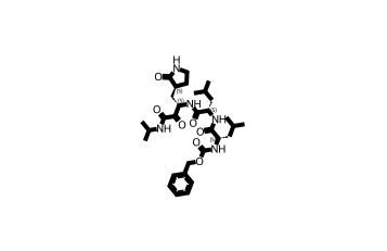 CC(C)C[C@H](NC(=O)OCc1ccccc1)C(=O)N[C@@H](CC(C)C)C(=O)N[C@@H](C[C@@H]1CCNC1=O)C(=O)C(=O)NC(C)C